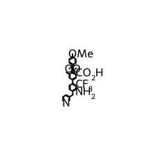 COc1ccc(S(=O)(=O)c2c(C)cc(-c3ccc(Cc4cccnc4)c(N)c3C(F)(F)F)cc2C(=O)O)cc1